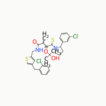 C=C(C(=O)NCc1cc(Cc2ccccc2Cl)cs1)[C@@H](OC(C)(C)O)C(=S)N1CCCC1c1cccc(Cl)c1